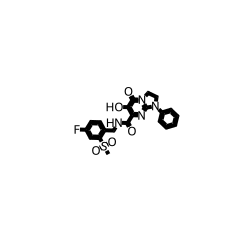 CS(=O)(=O)c1cc(F)ccc1CNC(=O)c1nc2n(c(=O)c1O)CCN2c1ccccc1